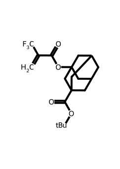 C=C(C(=O)OC12CC3CC(C1)CC(C(=O)OC(C)(C)C)(C3)C2)C(F)(F)F